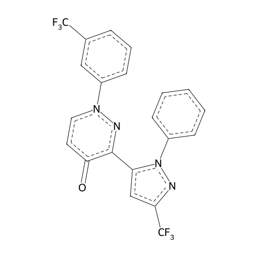 O=c1ccn(-c2cccc(C(F)(F)F)c2)nc1-c1cc(C(F)(F)F)nn1-c1ccccc1